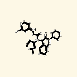 C=C(C)/C=C(\C=C/C)N(C(=O)CNc1ccnc(F)c1)C(C(=O)NC1CCCCC1)c1ccccc1C